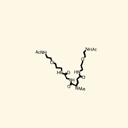 CN[C@H](CCC(=O)NCCCOCCNC(C)=O)C(=O)NCC(=O)NCCCOCCNC(C)=O